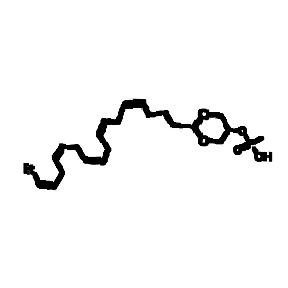 CC/C=C\C/C=C\C/C=C\C/C=C\C/C=C\CCC[C@H]1OC[C@@H](OP(C)(=O)O)CO1